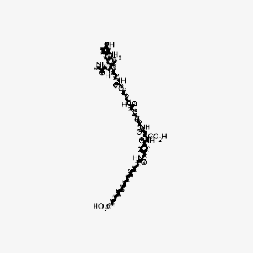 C[C@H](N)C(=O)CN[C@@H](CCCCNC(=O)COCCOCCNC(=O)COCCOCCNC(=O)CCC(NC(=O)C1CCC(CNC(=O)CCCCCCCCCCCCCCCCCCC(=O)O)CC1)C(=O)O)C(=O)C[C@@H](Cc1ccc(O)cc1)C(N)=O